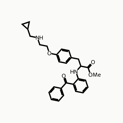 COC(=O)C(Cc1ccc(OCCNCC2CC2)cc1)Nc1ccccc1C(=O)c1ccccc1